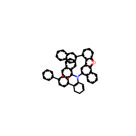 C1=CC(N(c2cccc3ccccc23)c2cc3c(oc4cccc(-c5ccc6ccccc6c5)c43)c3ccccc23)=C(c2ccc(-c3ccccc3)cc2)CC1